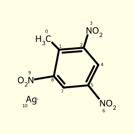 Cc1c([N+](=O)[O-])cc([N+](=O)[O-])cc1[N+](=O)[O-].[Ag]